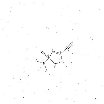 C#CC1=CP(=O)(N(C)C)OC1